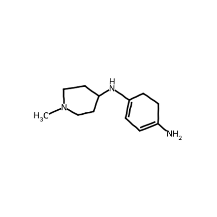 CN1CCC(NC2=CC=C(N)CC2)CC1